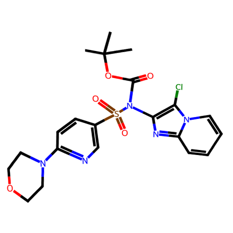 CC(C)(C)OC(=O)N(c1nc2ccccn2c1Cl)S(=O)(=O)c1ccc(N2CCOCC2)nc1